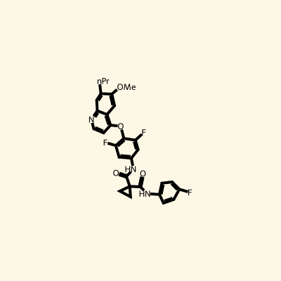 CCCc1cc2nccc(Oc3c(F)cc(NC(=O)C4(C(=O)Nc5ccc(F)cc5)CC4)cc3F)c2cc1OC